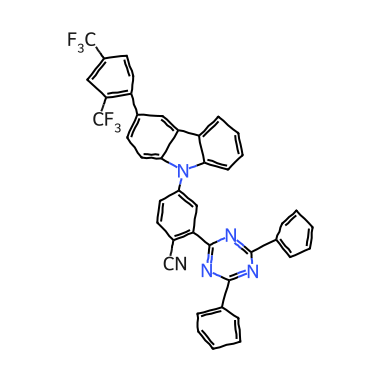 N#Cc1ccc(-n2c3ccccc3c3cc(-c4ccc(C(F)(F)F)cc4C(F)(F)F)ccc32)cc1-c1nc(-c2ccccc2)nc(-c2ccccc2)n1